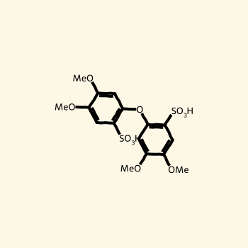 COc1cc(Oc2cc(OC)c(OC)cc2S(=O)(=O)O)c(S(=O)(=O)O)cc1OC